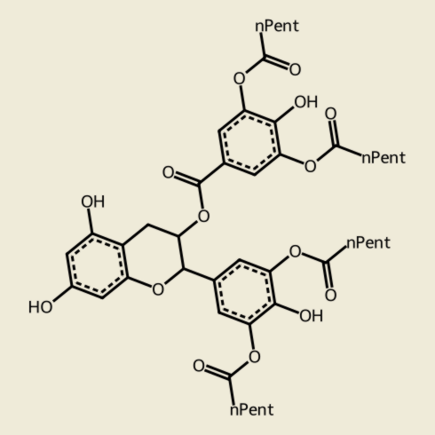 CCCCCC(=O)Oc1cc(C(=O)OC2Cc3c(O)cc(O)cc3OC2c2cc(OC(=O)CCCCC)c(O)c(OC(=O)CCCCC)c2)cc(OC(=O)CCCCC)c1O